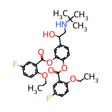 CCOc1ccc(F)cc1C(=O)Oc1ccc(C(O)CNC(C)(C)C)cc1OC(=O)c1cc(F)ccc1OCC